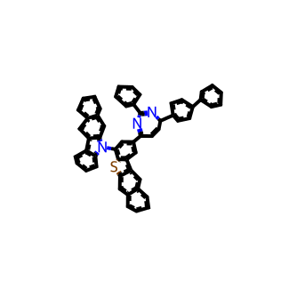 C1=CC(c2ccc(-c3ccccc3)cc2)N=C(c2ccccc2)N=C1c1cc(-n2c3ccccc3c3cc4ccccc4cc32)c2sc3cc4ccccc4cc3c2c1